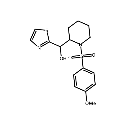 COc1ccc(S(=O)(=O)N2CCCCC2C(O)c2nccs2)cc1